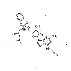 CCCCNc1nc(N)nc2c1ncn2[C@@H]1O[C@H](CO[P@](=O)(N[C@@H](C)C(=O)OC(C)C)Oc2ccccc2)[C@@H](O)[C@@]1(C)F